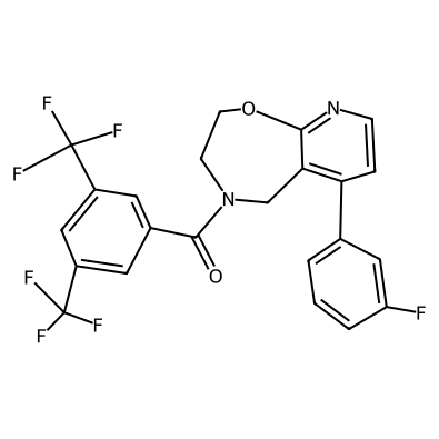 O=C(c1cc(C(F)(F)F)cc(C(F)(F)F)c1)N1CCOc2nccc(-c3cccc(F)c3)c2C1